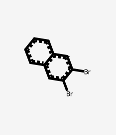 Brc1[c]c2ccccc2cc1Br